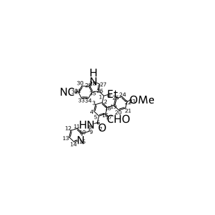 CCC(c1ccc(C(=O)NCc2ccccn2)c(C=O)c1-c1ccc(OC)cc1)c1c[nH]c2cc(C#N)ccc12